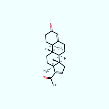 CC(C)C(=O)C1=CC[C@H]2[C@@H]3CCC4=CC(=O)CC[C@]4(C)[C@H]3CC[C@]12C